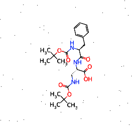 CC(C)(C)OC(=O)NC[C@H](NC(=O)[C@H](Cc1ccccc1)NC(=O)OC(C)(C)C)C(=O)O